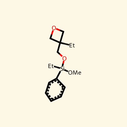 CCC1(CO[Si](CC)(OC)c2ccccc2)COC1